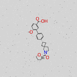 COc1ccc(C(=O)O)cc1-c1ccc([C@H]2C[C@]3(CCN(C(=O)[C@H]4CCCO4)C3)C2)cc1